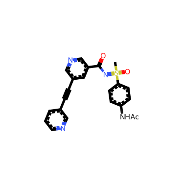 CC(=O)Nc1ccc(S(C)(=O)=NC(=O)c2cncc(C#Cc3cccnc3)c2)cc1